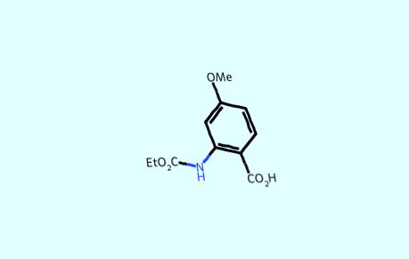 CCOC(=O)Nc1cc(OC)ccc1C(=O)O